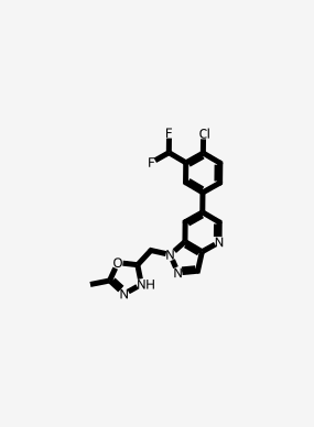 CC1=NNC(Cn2ncc3ncc(-c4ccc(Cl)c(C(F)F)c4)cc32)O1